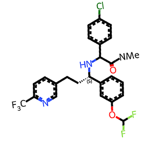 CNC(=O)C(N[C@@H](CCc1ccc(C(F)(F)F)nc1)c1cccc(OC(F)F)c1)c1ccc(Cl)cc1